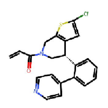 C=CC(=O)N1Cc2sc(Cl)cc2[C@H](c2ccccc2-c2ccncc2)C1